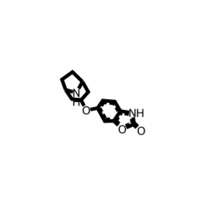 O=c1[nH]c2ccc(OC3CC4CCC(C3)N4)cc2o1